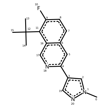 Cn1cc(-c2cc3ccc(F)c(C(C)(C)C)c3cn2)cn1